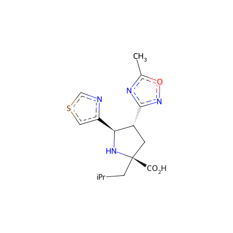 Cc1nc([C@@H]2C[C@@](CC(C)C)(C(=O)O)N[C@H]2c2cscn2)no1